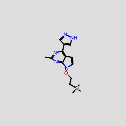 Cc1nc(-c2cn[nH]c2)c2ccn(OCC[Si](C)(C)C)c2n1